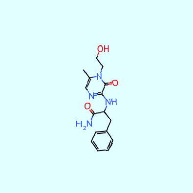 Cc1cnc(NC(Cc2ccccc2)C(N)=O)c(=O)n1CCO